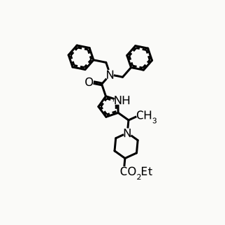 CCOC(=O)C1CCN(C(C)c2ccc(C(=O)N(Cc3ccccc3)Cc3ccccc3)[nH]2)CC1